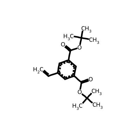 C=Cc1cc(C(=O)OC(C)(C)C)cc(C(=O)OC(C)(C)C)c1